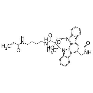 C=CC(=O)NCCCCNC(=O)[C@@]1(O)CC2O[C@]1(C)n1c3ccccc3c3c4c(c5c6ccccc6n2c5c31)C(=O)NC4